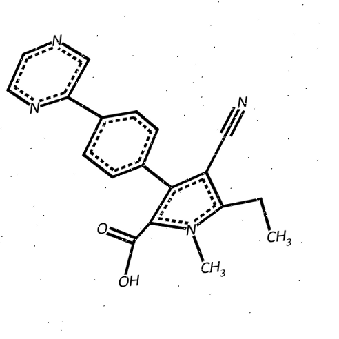 CCc1c(C#N)c(-c2ccc(-c3cnccn3)cc2)c(C(=O)O)n1C